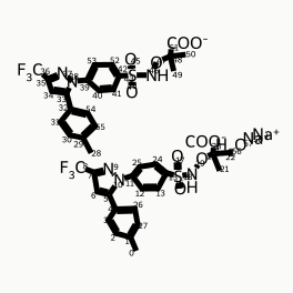 Cc1ccc(-c2cc(C(F)(F)F)nn2-c2ccc(S(=O)(=O)NOC(C)(C)C(=O)[O-])cc2)cc1.Cc1ccc(-c2cc(C(F)(F)F)nn2-c2ccc(S(=O)(=O)NOC(C)(C)C(=O)[O-])cc2)cc1.O.[Na+].[Na+]